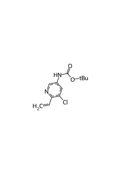 C=Cc1ncc(NC(=O)OC(C)(C)C)cc1Cl